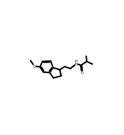 COc1ccc2c(c1)CCC2CCNC(=O)C(C)C